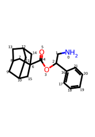 NCC(OC(=O)C12CC3CC(CC(C3)C1)C2)c1ccccc1